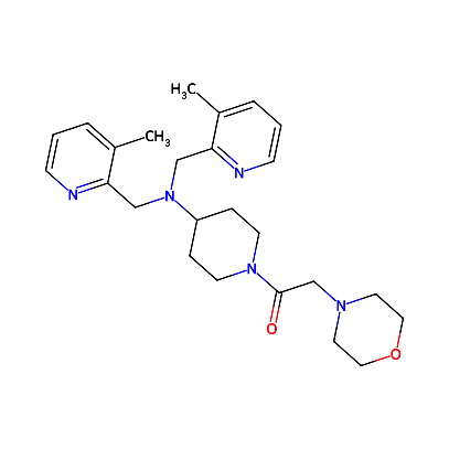 Cc1cccnc1CN(Cc1ncccc1C)C1CCN(C(=O)CN2CCOCC2)CC1